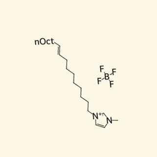 CCCCCCCCC=CCCCCCCCC[n+]1ccn(C)c1.F[B-](F)(F)F